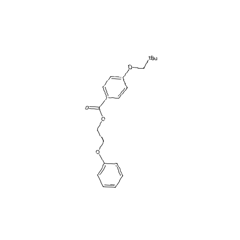 CC(C)(C)COc1ccc(C(=O)OCCOc2ccccc2)cc1